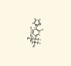 Cc1cc(C(F)(C(F)(F)F)C(F)(F)F)cc(C)c1-n1cccn1